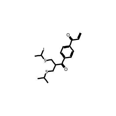 C=CC(=O)c1ccc(C(=O)C(CSC(C)C)CSC(C)I)cc1